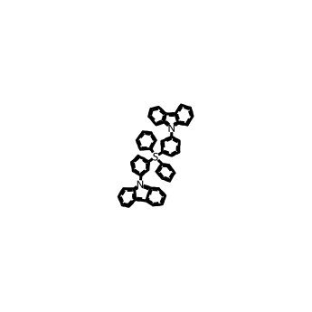 c1ccc(S(c2ccccc2)(c2cccc(-n3c4ccccc4c4ccccc43)c2)c2cccc(-n3c4ccccc4c4ccccc43)c2)cc1